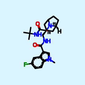 Cn1cc(C(=O)NC[C@H]2CC3CC[C@H](C2)N3CC(=O)NC(C)(C)C)c2cc(F)ccc21